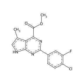 COC(=O)c1nc(-c2ccc(Cl)c(F)c2)nc2[nH]cc(C)c12